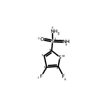 N=S(N)(=O)c1cc(F)c(F)s1